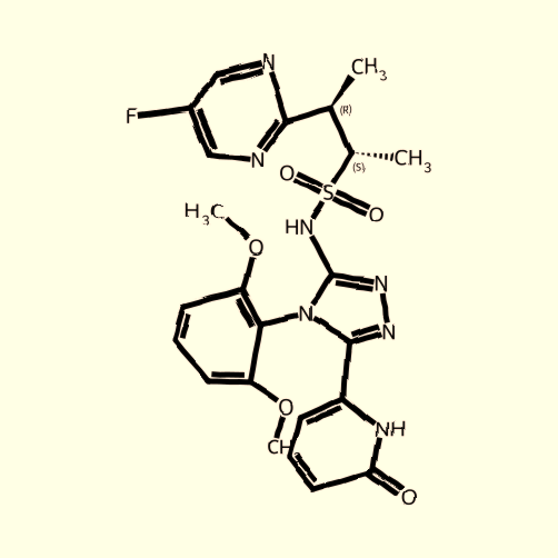 COc1cccc(OC)c1-n1c(NS(=O)(=O)[C@@H](C)[C@H](C)c2ncc(F)cn2)nnc1-c1cccc(=O)[nH]1